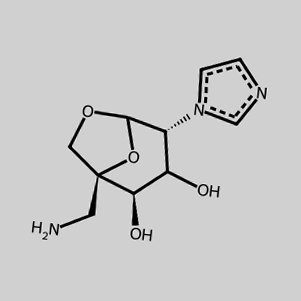 NC[C@@]12COC(O1)[C@H](n1ccnc1)C(O)[C@H]2O